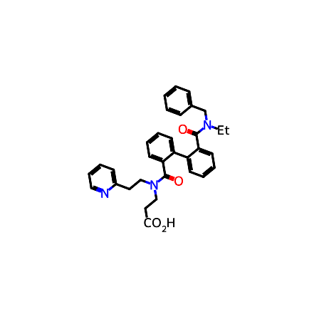 CCN(Cc1ccccc1)C(=O)c1ccccc1-c1ccccc1C(=O)N(CCC(=O)O)CCc1ccccn1